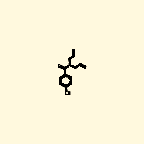 C=CCN(CC=C)C(=O)c1ccc(C#N)cc1